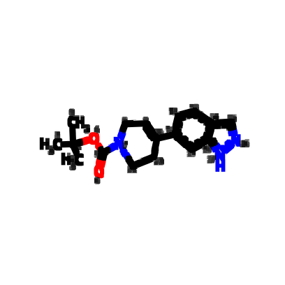 CC(C)(C)OC(=O)N1CC=C(c2ccc3cn[nH]c3c2)CC1